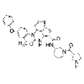 Cc1cc(Oc2ccccc2)ccc1N1C(=O)Nc2c(C(=O)NC3CCCN(C(=O)C4CCNC4)C3)sc3nccc1c23